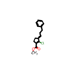 COC(=O)C1=C(Cl)C(=CCCc2ccccc2)CC1